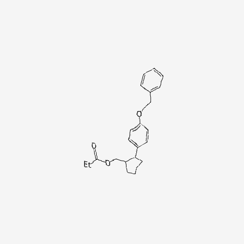 CCC(=O)OCC1CCCC1c1ccc(OCc2ccccc2)cc1